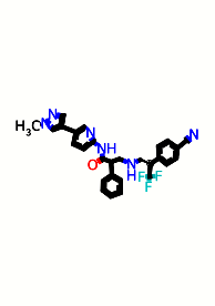 Cn1cc(-c2ccc(NC(=O)C(CNC[C@@H](c3ccc(C#N)cc3)C(F)(F)F)c3ccccc3)nc2)cn1